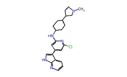 CN1CCC(C2CCC(Nc3cc(-c4c[nH]c5ncccc45)cc(Cl)n3)CC2)C1